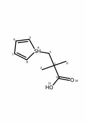 CC(C)(C[SH]1C=CC=C1)C(=O)O